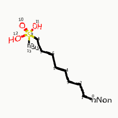 CCCCCCCCCCCCCCCCCS(=O)(O)(O)CCCC